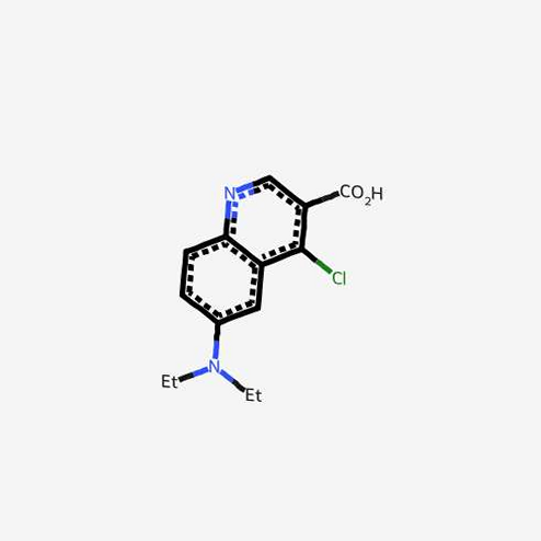 CCN(CC)c1ccc2ncc(C(=O)O)c(Cl)c2c1